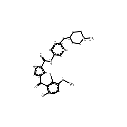 COc1ccc(Cl)c(C(=O)c2c[nH]c(C(=O)Nc3cnc(CC4CCN(C)CC4)nc3)c2)c1F